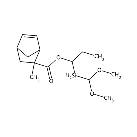 CCC(OC(=O)C1(C)CC2C=CC1C2)[SiH2]C(OC)OC